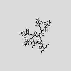 CCCN(CCC)C(=O)CN(CCCN(CC(=O)C(CCNC(=O)OC(C)(C)C)CCNC(=O)OC(C)(C)C)CC(=O)N(CCNC(=O)OC(C)(C)C)CCNC(=O)OC(C)(C)C)CC(=O)N(CCC)CCC